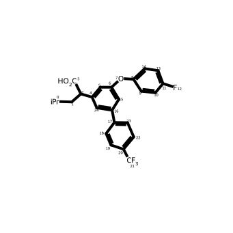 CC(C)CC(C(=O)O)c1cc(Oc2ccc(F)cc2)cc(-c2ccc(C(F)(F)F)cc2)c1